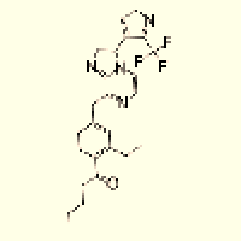 CCCCC(=O)c1ccc(Cc2nccn3c(C4=CCN=C4C(F)(F)F)cnc23)cc1CC